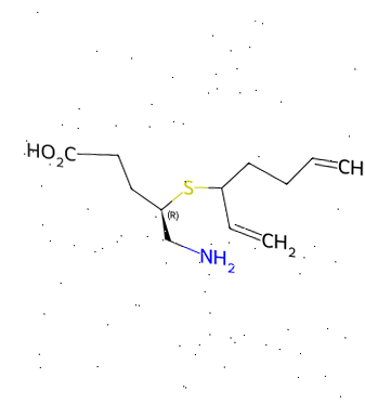 C=CCCC(C=C)S[C@@H](CN)CCC(=O)O